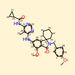 COc1ccc(CN2C(=O)c3c(OC)cc(Nc4ncnc(NC(=O)C5CC5)c4C)cc3C23CCCCC3)cc1